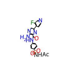 CC(=O)NS(=O)(=O)c1ccc(NC(=O)c2nc(-c3ccncc3F)cnc2N)cc1